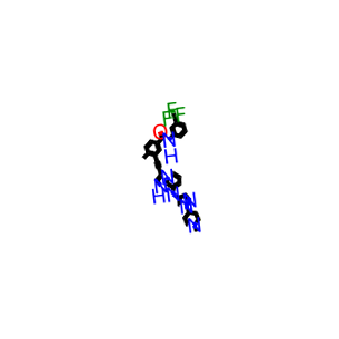 Cc1ccc(C(=O)Nc2cccc(C(F)(F)F)c2)cc1C#Cc1cnc2c(Nc3cnn(C4CCN(C)CC4)c3)cccn12